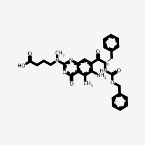 Cc1c(N)c(C(=O)[C@H](Cc2ccccc2)NC(=O)OCc2ccccc2)cc2nc(N(C)CCCC(=O)O)oc(=O)c12